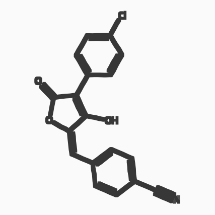 N#Cc1ccc(C=C2OC(=O)C(c3ccc(Cl)cc3)=C2O)cc1